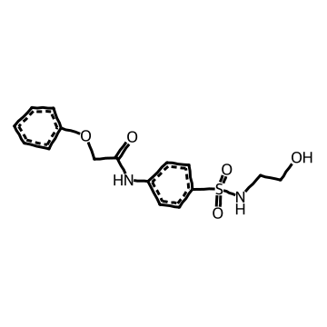 O=C(COc1ccccc1)Nc1ccc(S(=O)(=O)NCCO)cc1